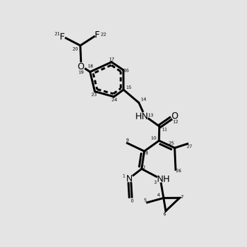 C=N/C(NC1(C)CC1)=C(\C)C(C(=O)NCc1ccc(OC(F)F)cc1)=C(C)C